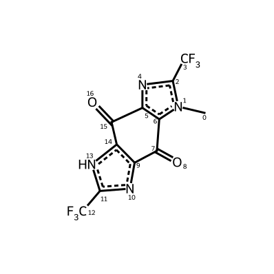 Cn1c(C(F)(F)F)nc2c1C(=O)c1nc(C(F)(F)F)[nH]c1C2=O